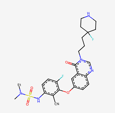 CCN(C)S(=O)(=O)Nc1ccc(F)c(Oc2ccc3ncn(CCCC4(F)CCNCC4)c(=O)c3c2)c1C#N